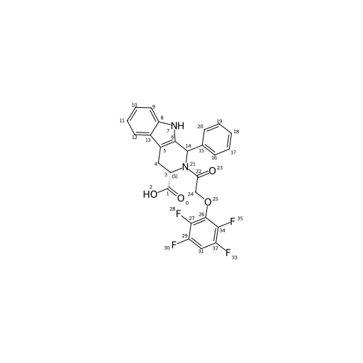 O=C(O)[C@@H]1Cc2c([nH]c3ccccc23)C(c2ccccc2)N1C(=O)COc1c(F)c(F)cc(F)c1F